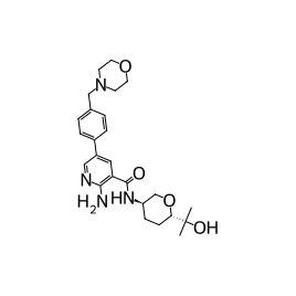 CC(C)(O)[C@@H]1CC[C@@H](NC(=O)c2cc(-c3ccc(CN4CCOCC4)cc3)cnc2N)CO1